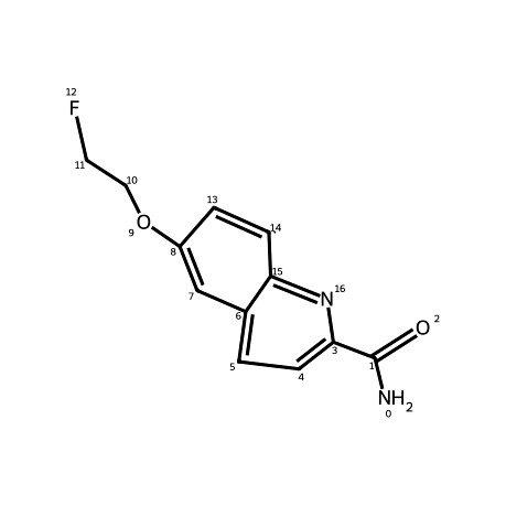 NC(=O)c1ccc2cc(OCCF)c[c]c2n1